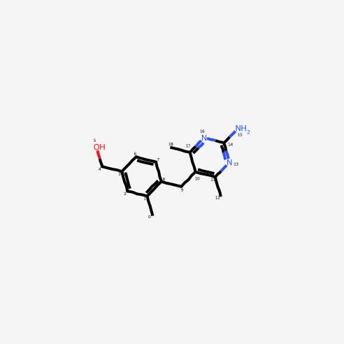 Cc1cc(CO)ccc1Cc1c(C)nc(N)nc1C